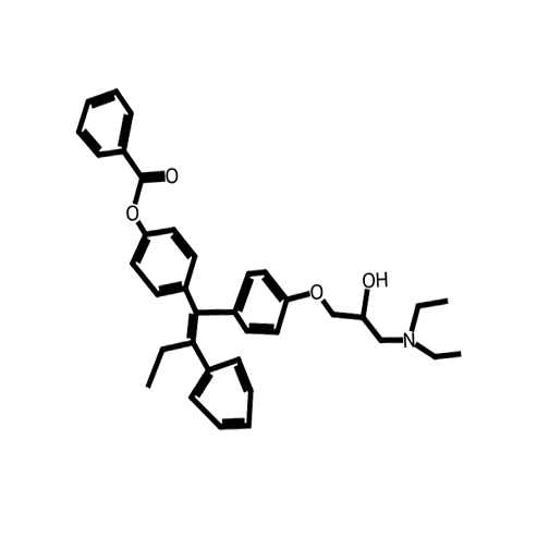 CCC(=C(c1ccc(OCC(O)CN(CC)CC)cc1)c1ccc(OC(=O)c2ccccc2)cc1)c1ccccc1